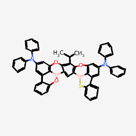 CC(C)c1c2c(cc3c1Oc1cc(N(c4ccccc4)c4ccccc4)cc4c1B3Sc1ccccc1-4)B1Oc3ccccc3-c3cc(N(c4ccccc4)c4ccccc4)cc(c31)O2